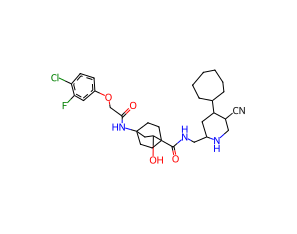 N#CC1CNC(CNC(=O)C23CCC(NC(=O)COc4ccc(Cl)c(F)c4)(CC2)CC3O)CC1C1CCCCCC1